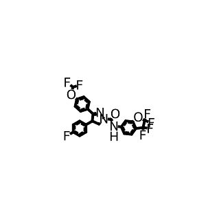 O=C(Nc1ccc2c(c1)OC(F)(F)C2(F)F)N1CC(c2ccc(F)cc2)C(c2ccc(OC(F)F)cc2)=N1